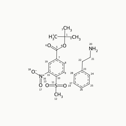 CC(C)(C)OC(=O)c1ccc(S(C)(=O)=O)c([N+](=O)[O-])c1.NCCc1ccccc1